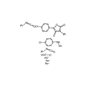 CC(C)N=C=O.CC(C)N=C=O.CC(C)n1c(=O)on(-c2ccc(Cl)cc2)c1=O.O=C([O-])Cl.ONc1ccc(Cl)cc1.[Na+].[Na+].[OH-]